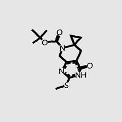 CSc1nc2c(c(=O)[nH]1)CC1(CC1)N(C(=O)OC(C)(C)C)C2